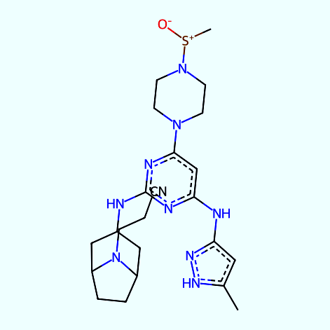 Cc1cc(Nc2cc(N3CCN([S+](C)[O-])CC3)nc(NC3CC4CCC(C3)N4CCC#N)n2)n[nH]1